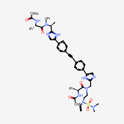 C=CN(CCN(Cc1ncc(-c2ccc(C#Cc3ccc(-c4cnc([C@H](C)N(CCC)C(=O)[C@@H](NC(=O)OC)C(C)C)[nH]4)cc3)cc2)[nH]1)C(=O)[C@@H](NC(=O)OC)C(C)C)S(=O)(=O)N(C)C